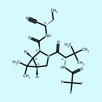 CC[C@@H](C#N)NC(=O)[C@@H]1[C@@H]2[C@H](CN1C(=O)[C@@H](NC(=O)C(F)(F)F)C(C)(C)C)C2(C)C